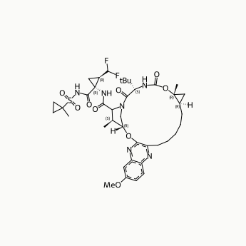 COc1ccc2nc3c(nc2c1)O[C@H]1CN(C(=O)[C@H](C(C)(C)C)NC(=O)O[C@]2(C)C[C@H]2CCCCC3)C(C(=O)N[C@]2(C(=O)NS(=O)(=O)C3(C)CC3)C[C@H]2C(F)F)[C@@H]1C